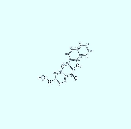 COc1ccc2c(=O)c3oc4c5ccccc5ccc4c3oc2c1